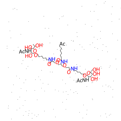 CC(=O)CCCCCCC(=O)NC(COCCC(=O)NCCCCCCOC(OC(CO)C(C)O)C(O)NC(C)=O)COCCC(=O)NCCCCCCOC1OC(CO)C(O)C(O)C1NC(C)=O